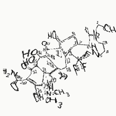 CCN1CCNC(c2cc(O)c3c(c2C(F)(F)F)C[C@H]2C[C@H]4[C@H](N(C)C)C(O)=C(C(N)=O)C(=O)[C@@]4(O)C(O)=C2C3=O)C1